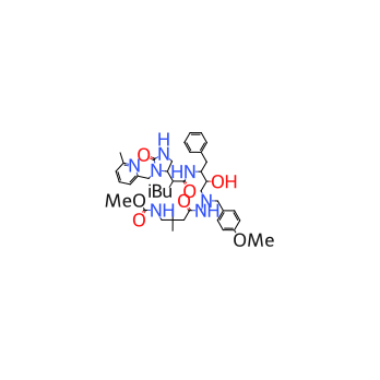 CCC(C)C(C(=O)NC(Cc1ccccc1)C(O)CN(Cc1ccc(OC)cc1)NC(=O)CC(C)(C)CNC(=O)OC)C1CNC(=O)N1Cc1cccc(C)n1